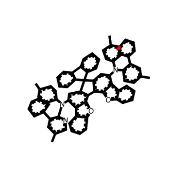 Cc1ccc(N(c2ccc(C)cc2-c2ccccc2)c2cc3c(c4oc5ccccc5c24)-c2c(cc(N(c4ccc(C)cc4)c4ncc(C)cc4-c4ccccc4)c4c2oc2ccccc24)C32c3ccccc3-c3ccccc32)cc1